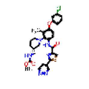 CC(C)(C)OC(=O)NC[C@@H]1CCCN(c2c(NC(=O)c3csc(-c4ccnnc4)n3)ccc(Oc3cccc(Cl)c3)c2C(F)(F)F)C1